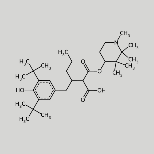 CCCC(Cc1cc(C(C)(C)C)c(O)c(C(C)(C)C)c1)C(C(=O)O)C(=O)OC1CCN(C)C(C)(C)C1(C)C